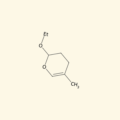 CCOC1CCC(C)=CO1